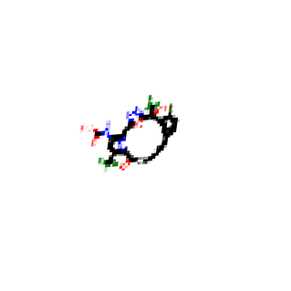 O=C(O)Nc1cc(C(F)(F)F)c2nc1-c1nnc(o1)C(O)(C(F)(F)F)c1cc(ccc1F)C=CCCC2=O